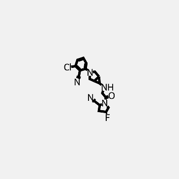 N#Cc1c(Cl)cccc1N1CC2C(C1)C2NCC(=O)N1C[C@@H](F)CC1C#N